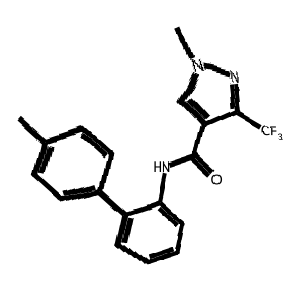 Cc1ccc(-c2ccccc2NC(=O)c2cn(C)nc2C(F)(F)F)cc1